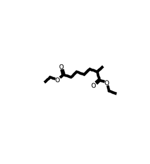 CCOC(=O)CCCCC(C)C(=O)OCC